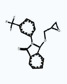 O=C1c2ccccc2C(OCC2CO2)N1c1cccc(C(F)(F)F)c1